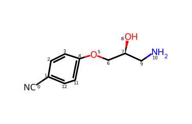 N#Cc1ccc(OC[C@@H](O)CN)cc1